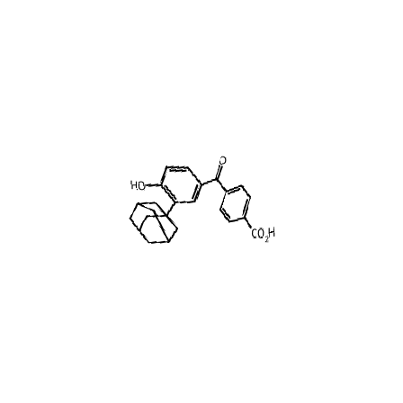 O=C(O)c1ccc(C(=O)c2ccc(O)c(C34CC5CC(CC(C5)C3)C4)c2)cc1